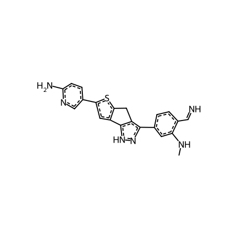 CNc1cc(-c2n[nH]c3c2Cc2sc(-c4ccc(N)nc4)cc2-3)ccc1C=N